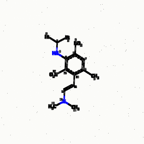 CCC(CC)Nc1c([N+](=O)[O-])cc(C)c(C=CN(C)C)c1[N+](=O)[O-]